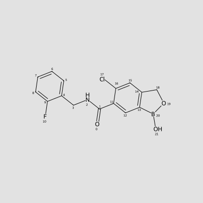 O=C(NCc1ccccc1F)c1cc2c(cc1Cl)COB2O